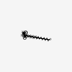 CCCCCCCCC=CCCCCCCCC(=O)N(C)C(C)=O